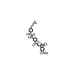 CCn1c(C)c(C=C2Oc3ccc(NC(=O)Nc4ccc(CCCN(C)C)cc4)cc3C2=O)c2cc(OC)ccc21